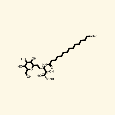 CCCCCCCCCCCCCCCCCCCCCCCC(=O)N[C@@H](CCC1OC(CO)C(O)C(O)C1O)[C@H](O)[C@H](O)CCCCC